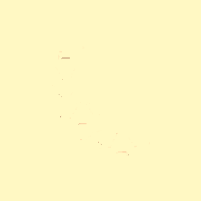 CC(C)(C)c1ccc(CN2CCc3cc(S(=O)(=O)Nc4ccc(F)cc4)ccc3C2)cn1